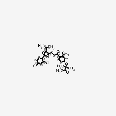 CC(=O)C(C)(C)Oc1ccc(C(=O)CCc2nc(-c3ccc(Cl)cc3Cl)oc2C(C)C)c(C)c1